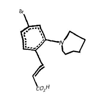 O=C(O)/C=C/c1ccc(Br)cc1N1CCCC1